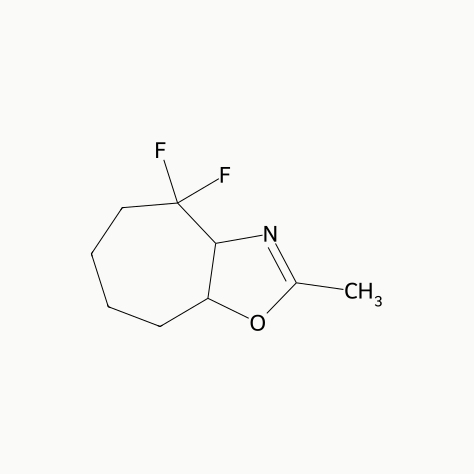 CC1=NC2C(CCCCC2(F)F)O1